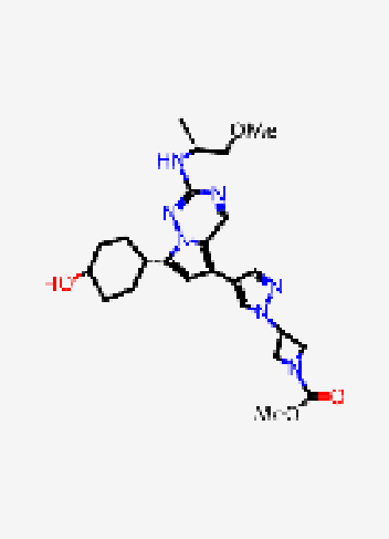 COC[C@H](C)Nc1ncc2c(-c3cnn(C4CN(C(=O)OC)C4)c3)cc([C@H]3CC[C@H](O)CC3)n2n1